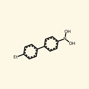 CCc1ccc(-c2ccc(N(O)O)cc2)cc1